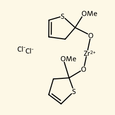 COC1([O][Zr+2][O]C2(OC)CC=CS2)CC=CS1.[Cl-].[Cl-]